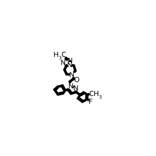 Cc1nc2n(n1)CCN(C(=O)Cn1nc(-c3ccc(F)c(C)c3)cc1-c1ccccc1)CC2